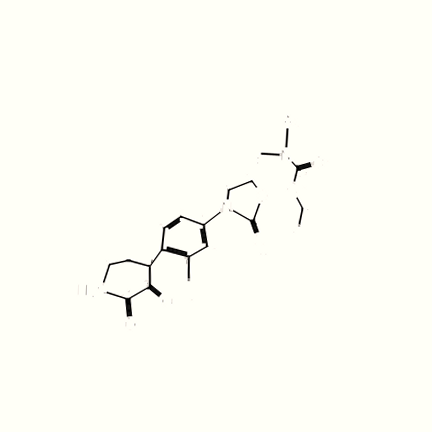 CC(=O)N(C[C@H]1CN(c2ccc(C3CC[SH4]C(=O)C3=O)c(F)c2)C(=O)O1)C(=O)OCCl